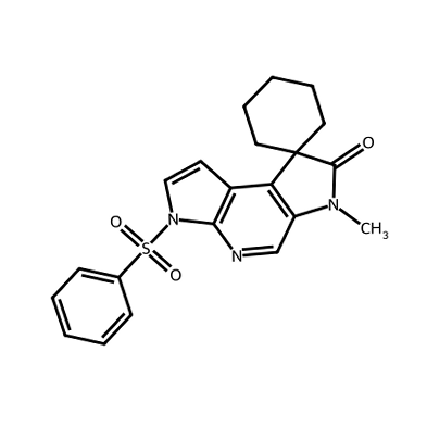 CN1C(=O)C2(CCCCC2)c2c1cnc1c2ccn1S(=O)(=O)c1ccccc1